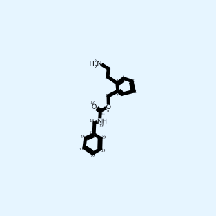 NCCc1ccccc1COC(=O)NCc1ccccc1